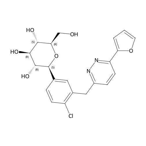 OC[C@H]1O[C@@H](c2ccc(Cl)c(Cc3ccc(-c4ccco4)nn3)c2)[C@H](O)[C@@H](O)[C@@H]1O